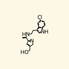 C=C(NCCc1c[nH]c2ccc(Cl)cc12)C1=NCC(CO)=C1